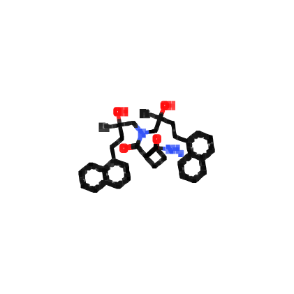 CCC(O)(CCc1cccc2ccccc12)CN(CC(O)(CC)CCc1cccc2ccccc12)C(=O)C1(C(N)=O)CCC1